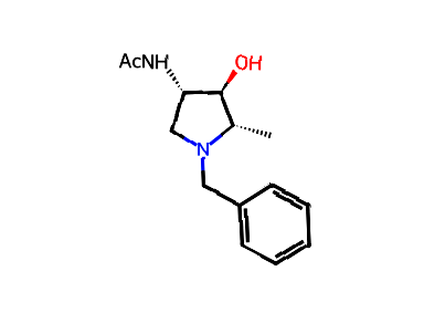 CC(=O)N[C@H]1CN(Cc2ccccc2)[C@@H](C)[C@@H]1O